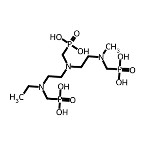 CCN(CCN(CCN(C)CP(=O)(O)O)CP(=O)(O)O)CP(=O)(O)O